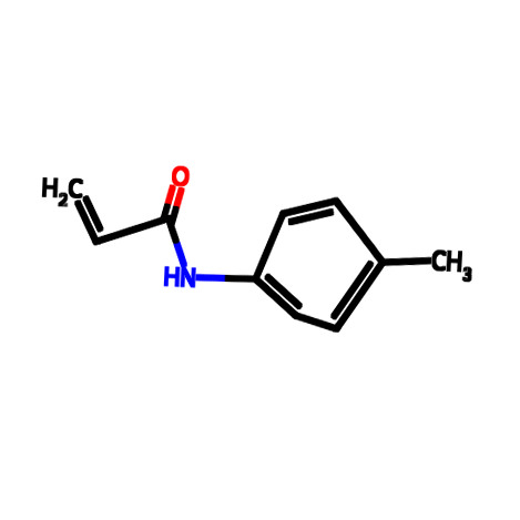 C=CC(=O)Nc1ccc(C)cc1